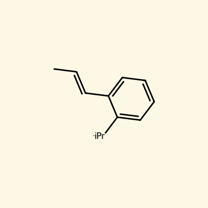 CC=Cc1ccccc1[C](C)C